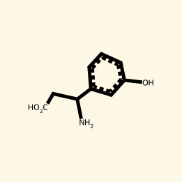 NC(CC(=O)O)c1cccc(O)c1